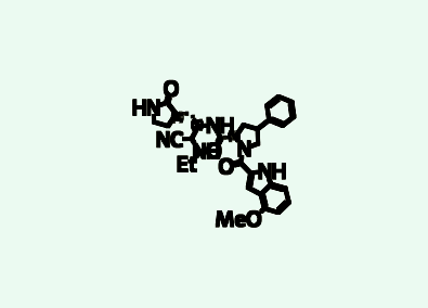 CCNC(C#N)[C@H](C[C@@H]1CCNC1=O)NC(=O)[C@@H]1CC(c2ccccc2)CN1C(=O)c1cc2c(OC)cccc2[nH]1